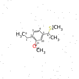 CCc1ccc(C(C)SC)cc1OC